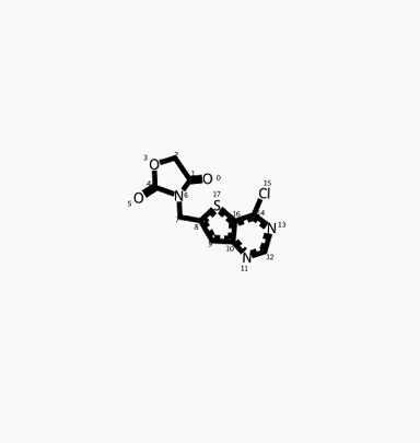 O=C1COC(=O)N1Cc1cc2ncnc(Cl)c2s1